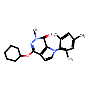 Cc1cc(C)c(-n2ccc3c(OC4CCCCC4)nn(C)c(=O)c32)c(C)c1